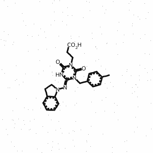 Cc1ccc(Cn2c(=O)n(CCC(=O)O)c(=O)[nH]/c2=N\N2CCc3ccccc32)cc1